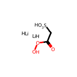 O=C(CS(=O)(=O)O)OO.[LiH].[LiH]